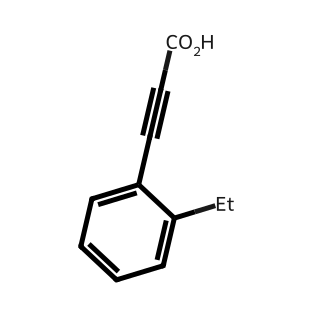 CCc1ccccc1C#CC(=O)O